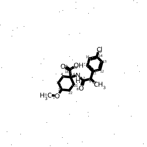 COC1CCC(NC(=O)C(C)c2ccc(Cl)cc2)(C(=O)O)CC1